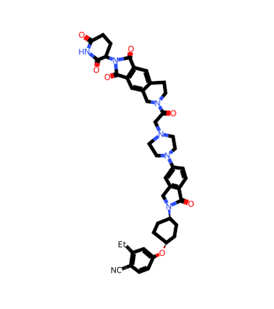 CCc1cc(O[C@H]2CC[C@H](N3Cc4cc(N5CCN(CC(=O)N6CCc7cc8c(cc7C6)C(=O)N(C6CCC(=O)NC6=O)C8=O)CC5)ccc4C3=O)CC2)ccc1C#N